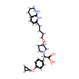 O=C(O)[C@@H](c1ccc(OC2CC2)cc1)N1CC[C@@H](OCCCCc2ccc3c(n2)NCCC3)C1